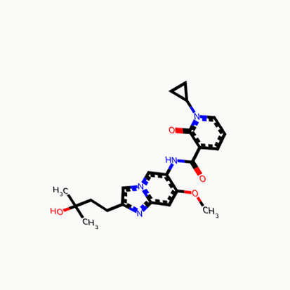 COc1cc2nc(CCC(C)(C)O)cn2cc1NC(=O)c1cccn(C2CC2)c1=O